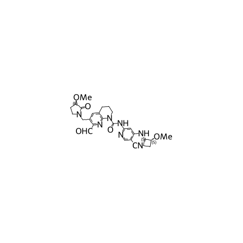 CO[C@H]1CC[C@@H]1Nc1cc(NC(=O)N2CCCc3cc(CN4CC[C@@H](OC)C4=O)c(C=O)nc32)ncc1C#N